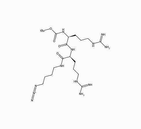 CC(C)(C)OC(=O)N[C@@H](CCCNC(=N)N)C(=O)N[C@@H](CCCNC(=N)N)C(=O)NCCCCN=[N+]=[N-]